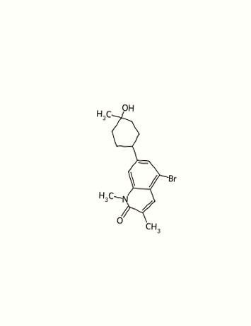 Cc1cc2c(Br)cc(C3CCC(C)(O)CC3)cc2n(C)c1=O